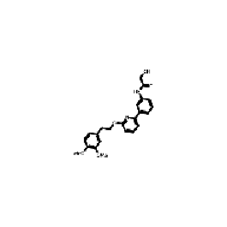 COc1ccc(CCOc2cccc(-c3cccc(NC(=O)CC#N)c3)n2)cc1OC